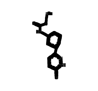 CCCCOC(=O)Nc1cccc(-c2ccc(=O)[nH]n2)c1